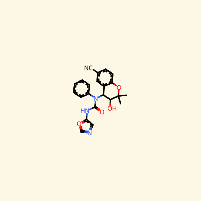 CC1(C)Oc2ccc(C#N)cc2C(N(C(=O)Nc2cnco2)c2ccccc2)C1O